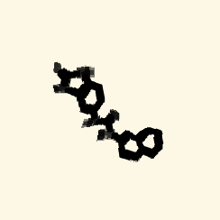 O=C(Nc1ccc2ccccc2c1)Nc1ccc2[nH]c(=O)[nH]c2c1